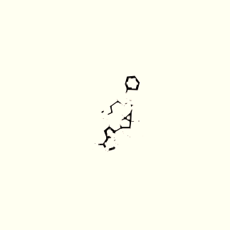 CCOC(=O)[C@H](CCS(C)(=O)=O)NP(=O)(Oc1ccccc1)OC1[C@H]2O[C@@](C#N)(c3ccc4c(N)ncnn34)[C@@H](C)[C@@]12O